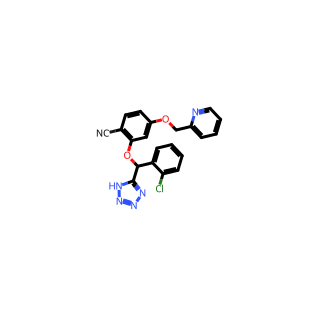 N#Cc1ccc(OCc2ccccn2)cc1OC(c1nnn[nH]1)c1ccccc1Cl